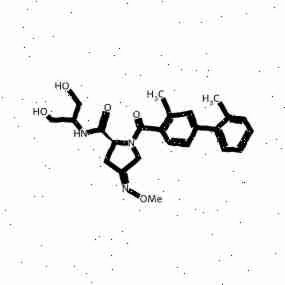 CON=C1C[C@@H](C(=O)NC(CO)CO)N(C(=O)c2ccc(-c3ccccc3C)cc2C)C1